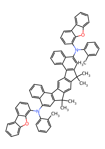 Cc1ccccc1N(c1cc2c(c3ccccc13)-c1cc3c(cc1C2(C)C)C(C)(C)c1cc(N(c2ccccc2C)c2cccc4c2oc2ccccc24)c2ccccc2c1-3)c1cccc2c1oc1ccccc12